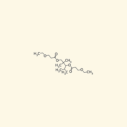 CCOCCC(=O)OCC(C)(C)C(OC(=O)CCOCC)C(C)C